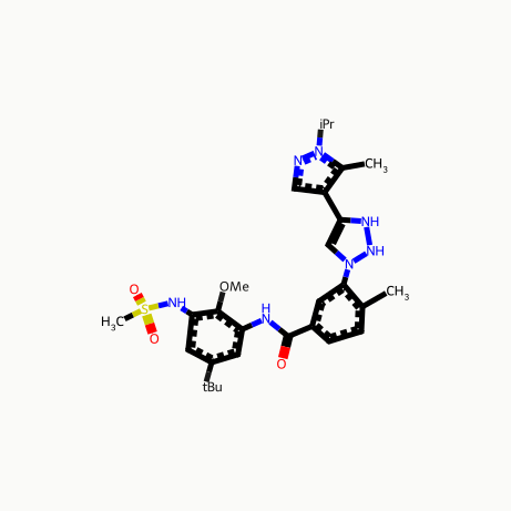 COc1c(NC(=O)c2ccc(C)c(N3C=C(c4cnn(C(C)C)c4C)NN3)c2)cc(C(C)(C)C)cc1NS(C)(=O)=O